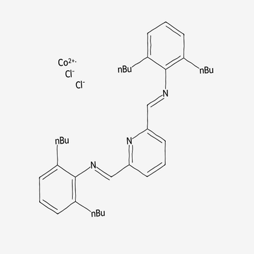 CCCCc1cccc(CCCC)c1N=Cc1cccc(C=Nc2c(CCCC)cccc2CCCC)n1.[Cl-].[Cl-].[Co+2]